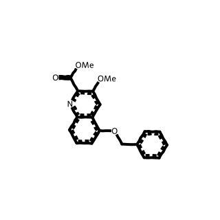 COC(=O)c1nc2cccc(OCc3ccccc3)c2cc1OC